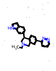 CCN1Cc2cc(-c3cccnn3)ccc2C(c2ccc3cc[nH]c3c2)C1